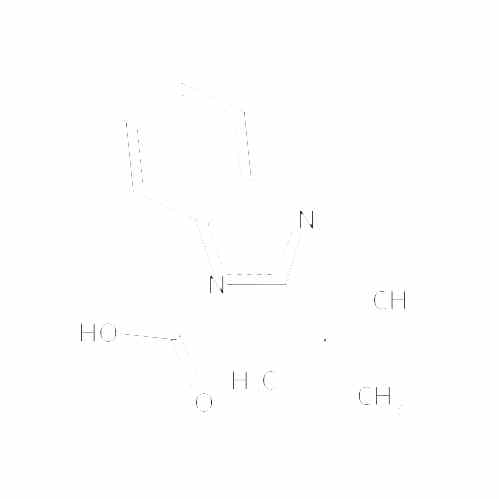 CC(C)(C)c1nc2ccccc2n1C(=O)O